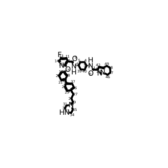 O=C(N[C@H]1CC[C@@H](NC(=O)c2cc(F)cnc2Oc2cccc(-c3ccc(CCCN4CCNCC4)cc3)c2)CC1)c1cc2n(n1)CCCC2